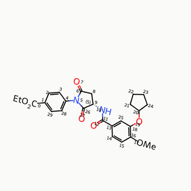 CCOC(=O)c1ccc(N2C(=O)C[C@H](NC(=O)c3ccc(OC)c(OC4CCCC4)c3)C2=O)cc1